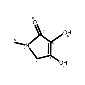 CN1CC(O)=C(O)C1=O